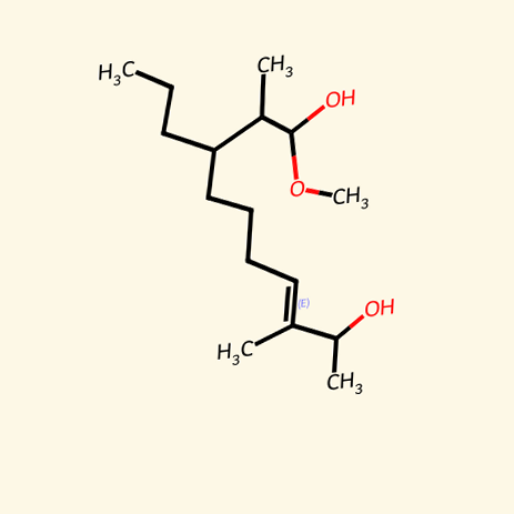 CCCC(CCC/C=C(\C)C(C)O)C(C)C(O)OC